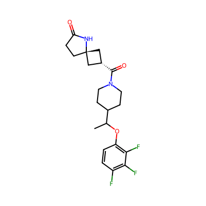 CC(Oc1ccc(F)c(F)c1F)C1CCN(C(=O)[C@H]2C[C@]3(CCC(=O)N3)C2)CC1